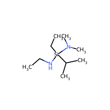 CCN[Si](CC)(C(C)C)N(C)C